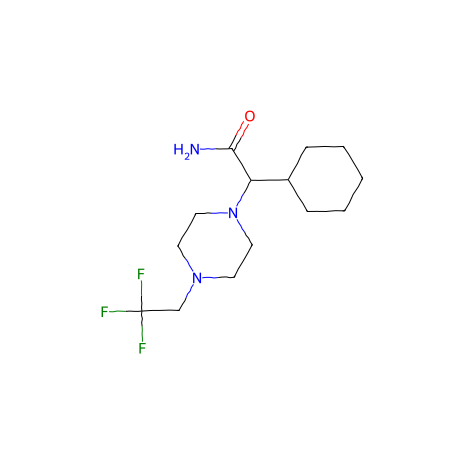 NC(=O)C(C1CCCCC1)N1CCN(CC(F)(F)F)CC1